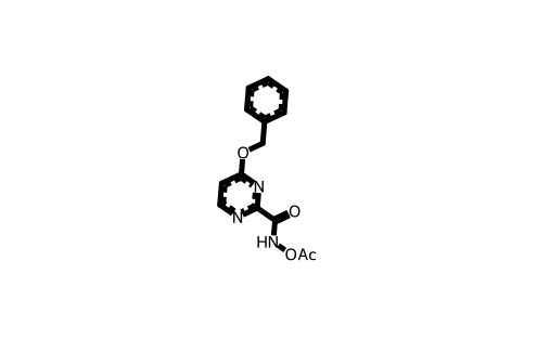 CC(=O)ONC(=O)c1nccc(OCc2ccccc2)n1